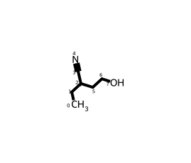 CC[C](C#N)CCO